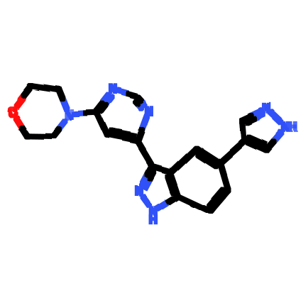 c1nc(-c2n[nH]c3ccc(-c4cn[nH]c4)cc23)cc(N2CCOCC2)n1